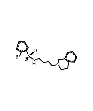 O=S(=O)(NCCCCN1CCc2ccccc2C1)c1ccccc1Br